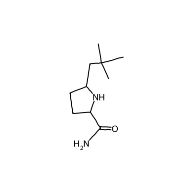 CC(C)(C)CC1CCC(C(N)=O)N1